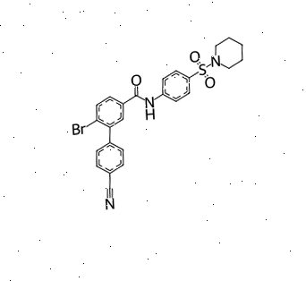 N#Cc1ccc(-c2cc(C(=O)Nc3ccc(S(=O)(=O)N4CCCCC4)cc3)ccc2Br)cc1